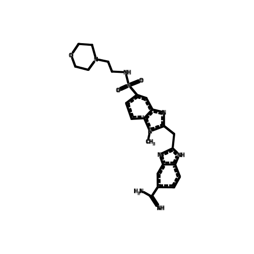 Cn1c(Cc2nc3cc(C(=N)N)ccc3[nH]2)nc2cc(S(=O)(=O)NCCN3CCOCC3)ccc21